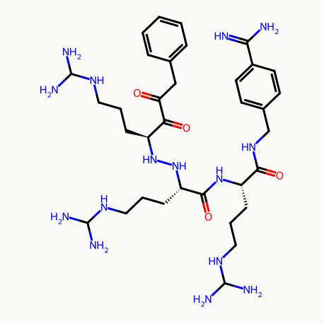 N=C(N)c1ccc(CNC(=O)[C@H](CCCNC(N)N)NC(=O)[C@H](CCCNC(N)N)NN[C@@H](CCCNC(N)N)C(=O)C(=O)Cc2ccccc2)cc1